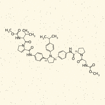 COC(=O)NCC(=O)N1CCC[C@H]1C(=O)Nc1ccc([C@@H]2CC[C@@H](c3ccc(NC(=O)C4=CCCN4C(=O)C(NC(=O)OC)C(C)C)cc3)N2c2ccc(C(C)C)cc2)cc1